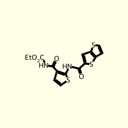 CCOC(=O)NC(=O)c1ccsc1NC(=O)c1cc2sccc2s1